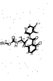 Cc1c(F)cncc1-n1c([C@H](C)NC(=O)OC(C)(C)C)nc2cccc(Cl)c2c1=O